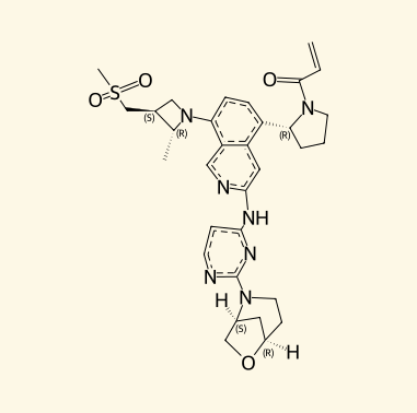 C=CC(=O)N1CCC[C@@H]1c1ccc(N2C[C@H](CS(C)(=O)=O)[C@H]2C)c2cnc(Nc3ccnc(N4CC[C@@H]5C[C@H]4CO5)n3)cc12